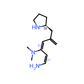 C=C(/C=C(\C=C/N)N(C)C)C[C@@H]1CCCN1